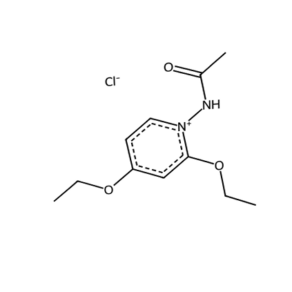 CCOc1cc[n+](NC(C)=O)c(OCC)c1.[Cl-]